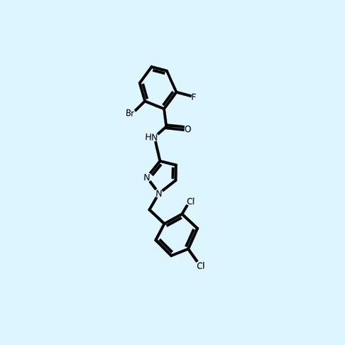 O=C(Nc1ccn(Cc2ccc(Cl)cc2Cl)n1)c1c(F)cccc1Br